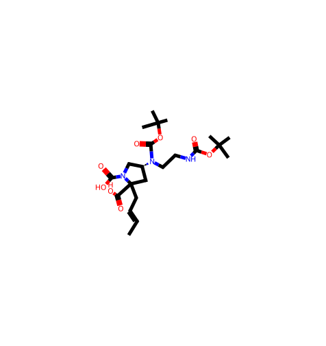 CC=CCC1(C(=O)O)C[C@@H](N(CCNC(=O)OC(C)(C)C)C(=O)OC(C)(C)C)CN1C(=O)O